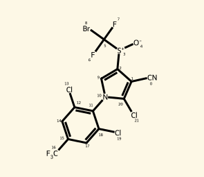 N#Cc1c([S+]([O-])C(F)(F)Br)cn(-c2c(Cl)cc(C(F)(F)F)cc2Cl)c1Cl